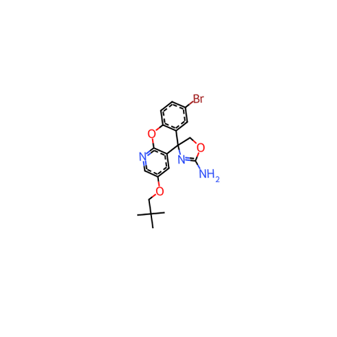 CC(C)(C)COc1cnc2c(c1)C1(COC(N)=N1)c1cc(Br)ccc1O2